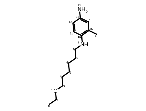 CCOCCCCCCNc1ccc(N)cc1C